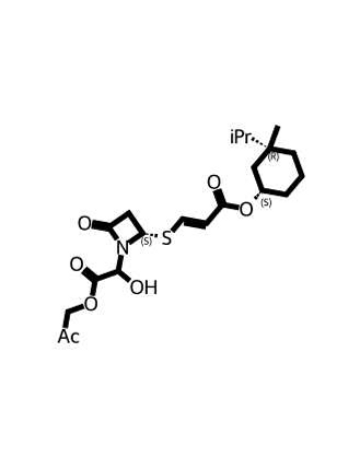 CC(=O)COC(=O)C(O)N1C(=O)C[C@@H]1SC=CC(=O)O[C@H]1CCC[C@@](C)(C(C)C)C1